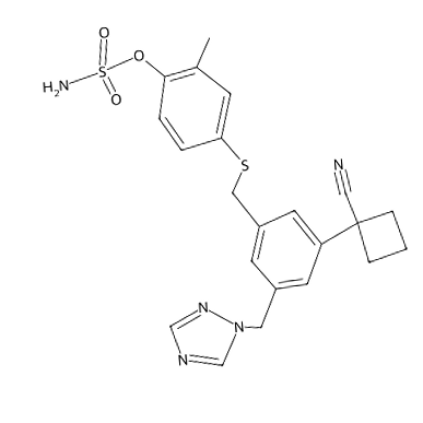 Cc1cc(SCc2cc(Cn3cncn3)cc(C3(C#N)CCC3)c2)ccc1OS(N)(=O)=O